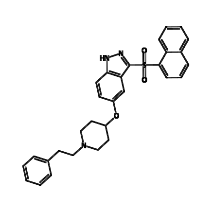 O=S(=O)(c1cccc2ccccc12)c1n[nH]c2ccc(OC3CCN(CCc4ccccc4)CC3)cc12